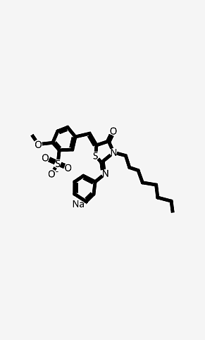 CCCCCCCCN1C(=O)C(=Cc2ccc(OC)c(S(=O)(=O)[O-])c2)SC1=Nc1ccccc1.[Na+]